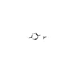 CCCC(Br)Oc1ccc(N=C=O)cc1